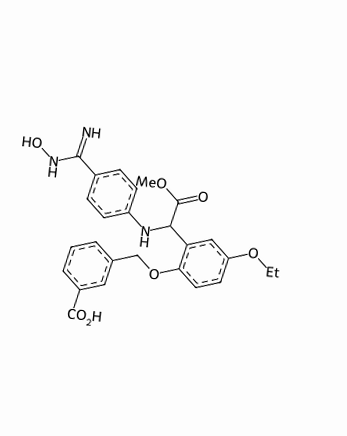 CCOc1ccc(OCc2cccc(C(=O)O)c2)c(C(Nc2ccc(C(=N)NO)cc2)C(=O)OC)c1